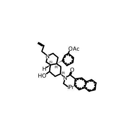 C=CCN1CC[C@@]2(c3cccc(OC(C)=O)c3)C[C@@H](N(CC(C)C)C(=O)c3ccc4ccccc4c3)CC(O)[C@@H]2C1